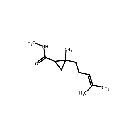 CNC(=O)C1CC1(C)CCC=C(C)C